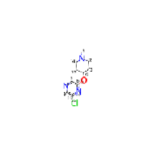 CN1CCC(Oc2cncc(Cl)n2)CC1